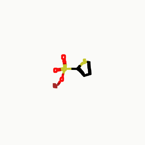 O=S(=O)(OBr)c1cccs1